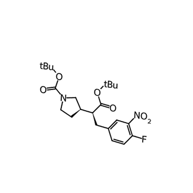 CC(C)(C)OC(=O)[C@@H](Cc1ccc(F)c([N+](=O)[O-])c1)[C@H]1CCN(C(=O)OC(C)(C)C)C1